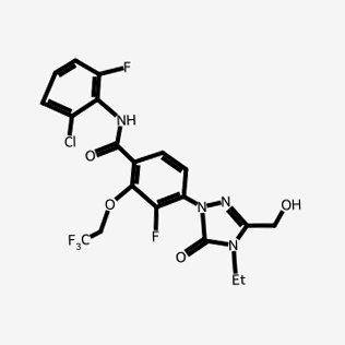 CCn1c(CO)nn(-c2ccc(C(=O)Nc3c(F)cccc3Cl)c(OCC(F)(F)F)c2F)c1=O